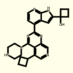 OC1(c2cc3c(-c4nc(N5CCNCC5)c5c(C6CCC6)cncc5n4)ccnc3[nH]2)CCC1